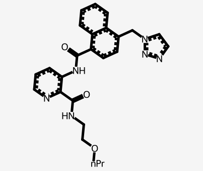 CCCOCCNC(=O)c1ncccc1NC(=O)c1ccc(Cn2ccnn2)c2ccccc12